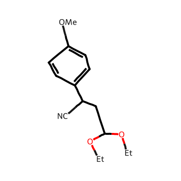 CCOC(CC(C#N)c1ccc(OC)cc1)OCC